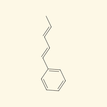 C/C=C/C=C/c1ccccc1